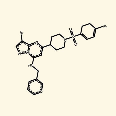 CC(C)C1=CC=C(S(=O)(=O)N2CCC(c3cc(NCc4cccnc4)n4ncc(Br)c4n3)CC2)CC1